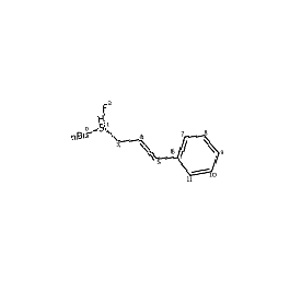 CCCC[SiH](F)CC=Cc1ccccc1